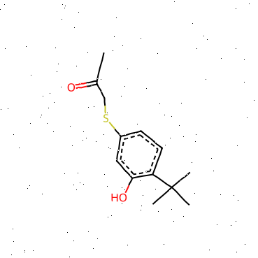 CC(=O)CSc1ccc(C(C)(C)C)c(O)c1